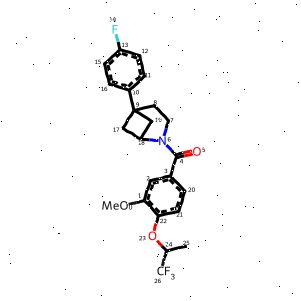 COc1cc(C(=O)N2CCC3(c4ccc(F)cc4)CC2C3)ccc1OC(C)C(F)(F)F